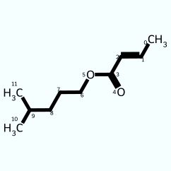 CC=CC(=O)OCCCC(C)C